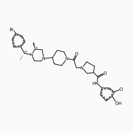 C[C@H](c1ccc(Br)cc1)N1CCN(C2CCN(C(=O)CN3CCC(C(=O)Nc4ccc(O)c(Cl)c4)C3)CC2)C[C@@H]1C